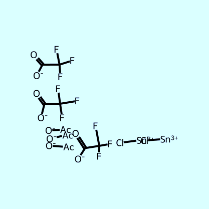 CC(=O)[O-].CC(=O)[O-].CC(=O)[O-].O=C([O-])C(F)(F)F.O=C([O-])C(F)(F)F.O=C([O-])C(F)(F)F.[Cl][Sn+3].[Cl][Sn+3]